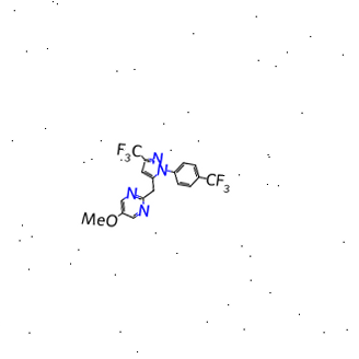 COc1cnc(Cc2cc(C(F)(F)F)nn2-c2ccc(C(F)(F)F)cc2)nc1